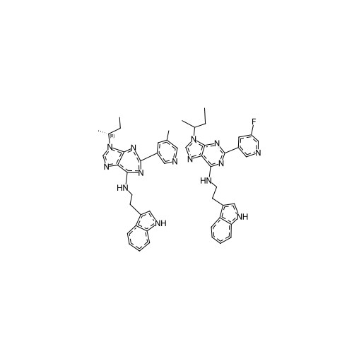 CCC(C)n1cnc2c(NCCc3c[nH]c4ccccc34)nc(-c3cncc(F)c3)nc21.CC[C@@H](C)n1cnc2c(NCCc3c[nH]c4ccccc34)nc(-c3cncc(C)c3)nc21